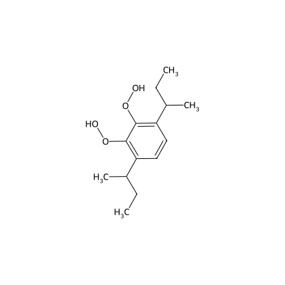 CCC(C)c1ccc(C(C)CC)c(OO)c1OO